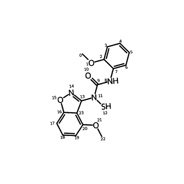 COc1ccccc1NC(=O)N(S)c1noc2cccc(OC)c12